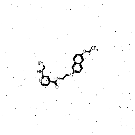 CC(C)CNc1cc(C(=O)NCCOc2ccc3cc(OCC(F)(F)F)ccc3c2)ccn1